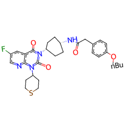 CCCCOc1ccc(CC(=O)N[C@H]2CC[C@@H](n3c(=O)c4cc(F)cnc4n(C4CCSCC4)c3=O)CC2)cc1